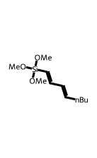 CCCC/C=C/C=C/[Si](OC)(OC)OC